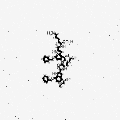 CCC[C@@H]1CN(C(C)=O)c2cc(OCc3ccccc3)c3[nH]c(C(=O)N[C@@H](CCCCN)C(=O)N4C[C@@H](CC)c5c4cc(OCc4ccccc4)c4[nH]c(C(=O)N[C@@H](CCCCN)C(=O)O)cc54)cc3c21